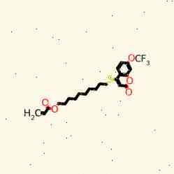 C=CC(=O)OCCCCCCCCCCSc1cc(=O)oc2cc(OC(F)(F)F)ccc12